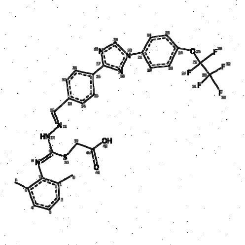 Cc1cccc(C)c1/N=C(/N/N=C/c1ccc(-c2ncn(-c3ccc(OC(F)(F)C(F)(F)F)cc3)n2)cc1)SCC(=O)O